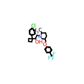 CC1CCC(COc2ccc(C(F)(F)F)cc2)CN1CC(O)C1(c2ccc(Cl)cc2)CCC1